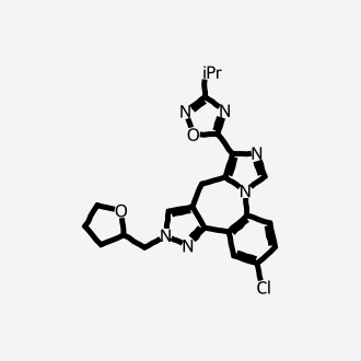 CC(C)c1noc(-c2ncn3c2Cc2cn(CC4CCCO4)nc2-c2cc(Cl)ccc2-3)n1